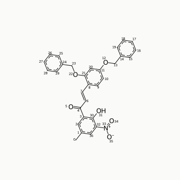 Cc1cc(C(=O)/C=C/c2ccc(OCc3ccccc3)cc2OCc2ccccc2)c(O)c([N+](=O)[O-])c1